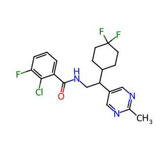 Cc1ncc(C(CNC(=O)c2cccc(F)c2Cl)C2CCC(F)(F)CC2)cn1